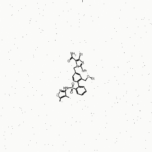 CCCc1nc(CC)c(C(N)=O)n1Cc1ccc(-c2ccccc2S(=O)(=O)Nc2noc(C)c2C)c(COCC)c1